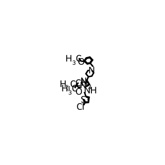 COc1cccc(CN2CCC(c3cc(NCc4ccc(Cl)s4)n(C(=O)C(C)(C)C)n3)CC2)c1